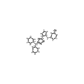 Brc1cccc(Cc2sccc2-c2nnn(C(c3ccccc3)c3ccccc3)n2)c1